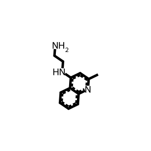 Cc1cc(NCCN)c2ccccc2n1